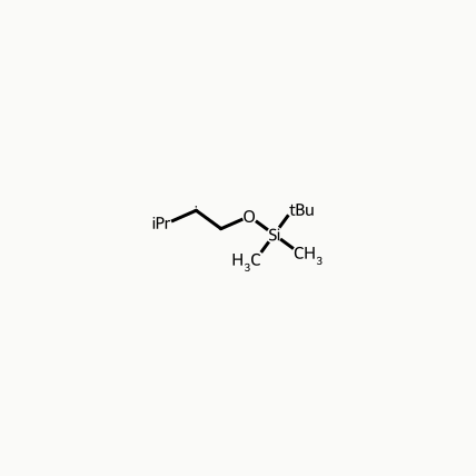 CC(C)[CH]CO[Si](C)(C)C(C)(C)C